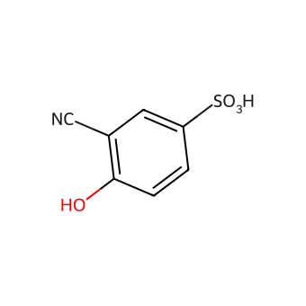 N#Cc1cc(S(=O)(=O)O)ccc1O